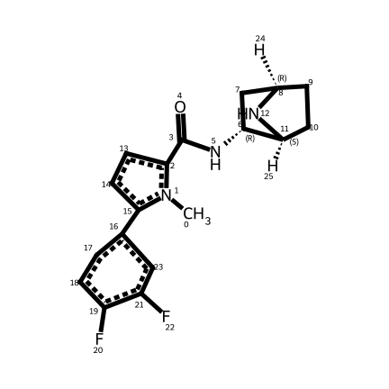 Cn1c(C(=O)N[C@@H]2C[C@H]3CC[C@@H]2N3)ccc1-c1ccc(F)c(F)c1